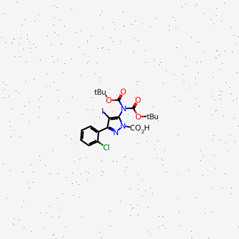 CC(C)(C)OC(=O)N(C(=O)OC(C)(C)C)c1c(I)c(-c2ccccc2Cl)nn1C(=O)O